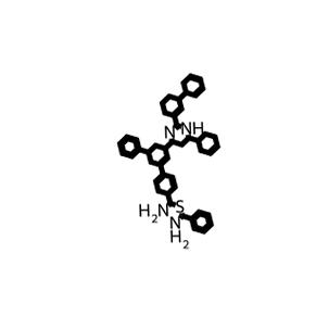 NC(SC(N)C1C=CC(C2=CC(C3CC(C4CC=CCC4)NC(C4=CC(C5C=CC=CC5)CCC4)=N3)CC(c3ccccc3)C2)=CC1)c1ccccc1